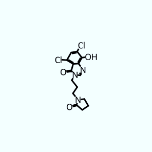 O=C1CCCN1CCCn1cnc2c(O)c(Cl)cc(Cl)c2c1=O